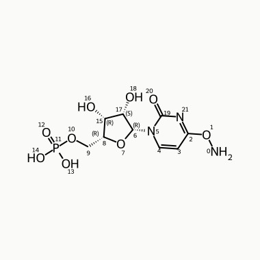 NOc1ccn([C@@H]2O[C@H](COP(=O)(O)O)[C@H](O)[C@@H]2O)c(=O)n1